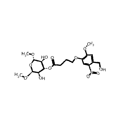 COc1cc(CO)c([N+](=O)[O-])cc1OCCCC(=O)O[C@H]1[C@H](O)[C@@H](OC)O[C@H](OC)[C@@H]1O